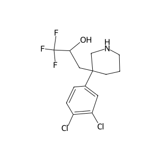 OC(CC1(c2ccc(Cl)c(Cl)c2)CCCNC1)C(F)(F)F